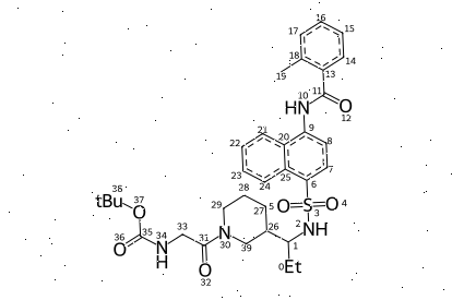 CCC(NS(=O)(=O)c1ccc(NC(=O)c2ccccc2C)c2ccccc12)C1CCCN(C(=O)CNC(=O)OC(C)(C)C)C1